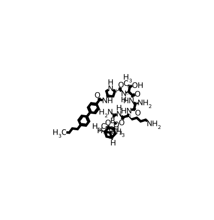 CCCCc1ccc(-c2ccc(C(=O)N[C@H]3CN[C@H](C(=O)N[C@H](C(=O)N[C@@H](N)C(=O)N[C@@H](CCCCN)C(=O)N[C@@H](N)B4OC5C[C@@H]6C[C@@H](C6(C)C)[C@]5(C)O4)[C@@H](C)O)C3)cc2)cc1